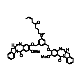 C/C=C\CC(=O)CCCN(C)c1cc(COc2cc3c(cc2OC)C(=O)N2c4ccccc4C[C@H]2C=N3)cc(COc2cc3c(cc2OC)C(=O)N2c4ccccc4C[C@H]2C=N3)c1